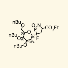 CCCCOC[C@H]1O[C@H](C(F)(F)CC(C(=O)OCC)[N+](=O)[O-])[C@@H](C)[C@@H](OCCCC)[C@H]1OCCCC